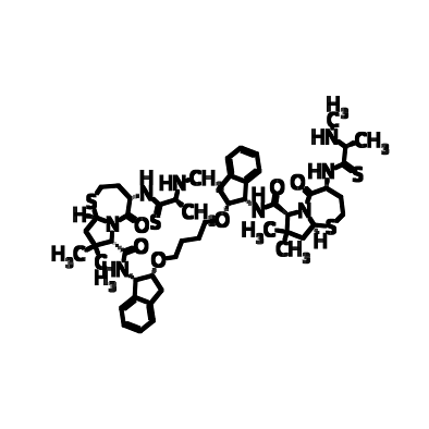 CN[C@@H](C)C(=S)N[C@H]1CCS[C@H]2CC(C)(C)[C@@H](C(=O)N[C@H]3c4ccccc4C[C@H]3OCCCCO[C@@H]3Cc4ccccc4[C@@H]3NC(=O)[C@H]3N4C(=O)[C@@H](NC(=S)[C@H](C)NC)CCS[C@H]4CC3(C)C)N2C1=O